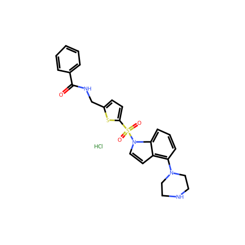 Cl.O=C(NCc1ccc(S(=O)(=O)n2ccc3c(N4CCNCC4)cccc32)s1)c1ccccc1